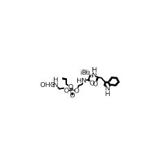 C=CCOP(=O)(OCCNC=O)OCCNC(=O)[C@@H](NC(=O)Cc1c[nH]c2ccccc12)[C@@H](C)CC